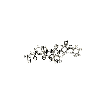 CNCC(=O)N1CCCC(NC(=O)c2sc3nccc4c3c2NC(=O)N4c2ccc(Oc3ccccc3)c(Cl)c2)C1